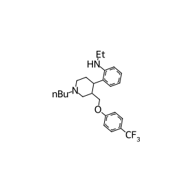 CCCCN1CCC(c2ccccc2NCC)C(COc2ccc(C(F)(F)F)cc2)C1